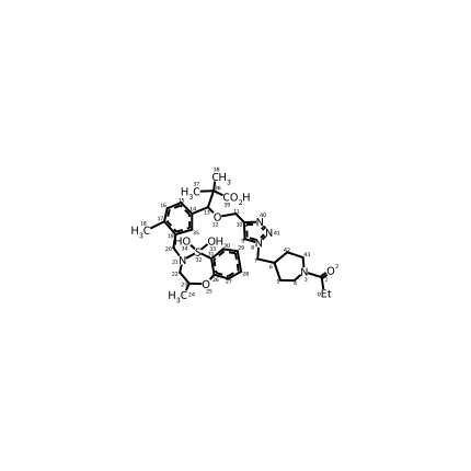 CCC(=O)N1CCC(Cn2cc(COC(c3ccc(C)c(CN4CC(C)Oc5ccccc5S4(O)O)c3)C(C)(C)C(=O)O)nn2)CC1